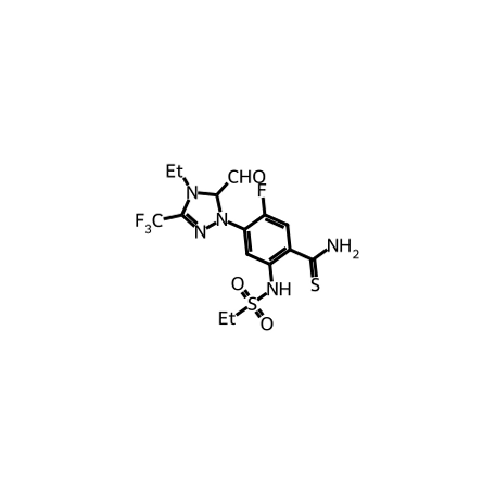 CCN1C(C(F)(F)F)=NN(c2cc(NS(=O)(=O)CC)c(C(N)=S)cc2F)C1C=O